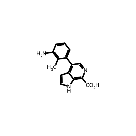 Cc1c(N)cccc1-c1cnc(C(=O)O)c2[nH]ccc12